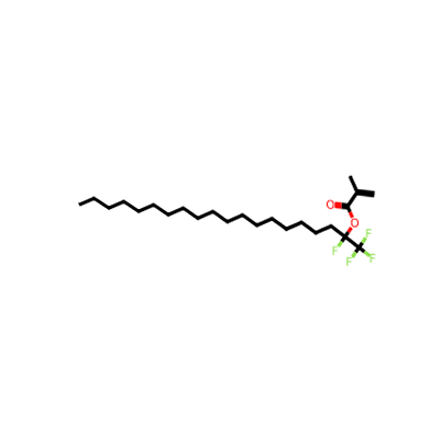 C=C(C)C(=O)OC(F)(CCCCCCCCCCCCCCCCCC)C(F)(F)F